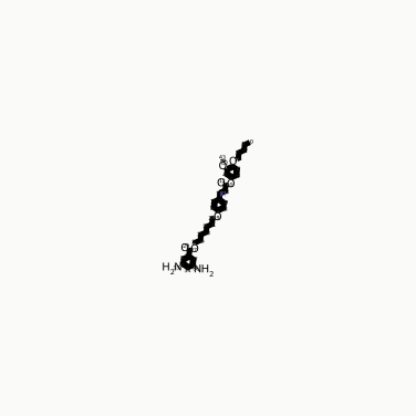 CCCCCOc1ccc(OC(=O)/C=C/c2ccc(OCCCCCCCOC(=O)c3cc(N)cc(N)c3)cc2)cc1OC